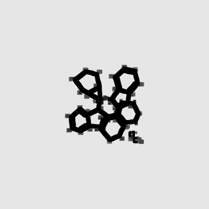 C1=C(C2CCCCC2)[CH]([Hf+2]2([CH]3C(C4CCCCC4)=Cc4ccccc43)[CH]3CCCC[CH]32)c2ccccc21.[Cl-].[Cl-]